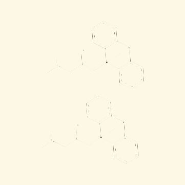 CNCC(O)CC12CCC(c3ccccc31)c1ccccc12.CNCC(O)CC12CCC(c3ccccc31)c1ccccc12